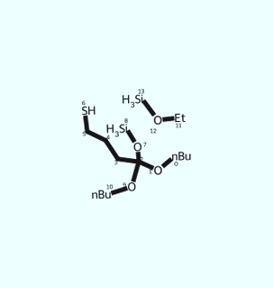 CCCCOC(CCCS)(O[SiH3])OCCCC.CCO[SiH3]